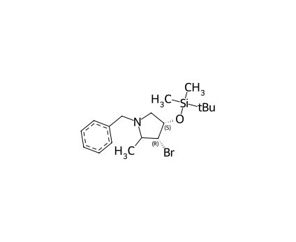 CC1[C@@H](Br)[C@@H](O[Si](C)(C)C(C)(C)C)CN1Cc1ccccc1